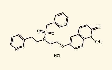 Cl.Cn1c(=O)ccc2cc(OCCN(CCc3cccnc3)S(=O)(=O)Cc3ccccc3)ccc21